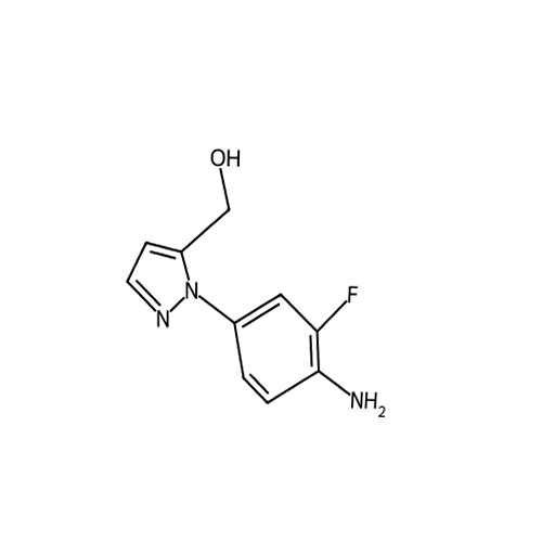 Nc1ccc(-n2nccc2CO)cc1F